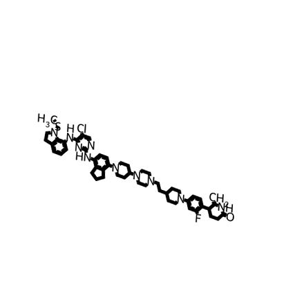 C=C1NC(=O)CCC1c1ccc(N2CCC(CCN3CCN(C4CCN(c5ccc(Nc6ncc(Cl)c(Nc7cccc8c7N(SC)CC8)n6)c6c5CCC6)CC4)CC3)CC2)cc1F